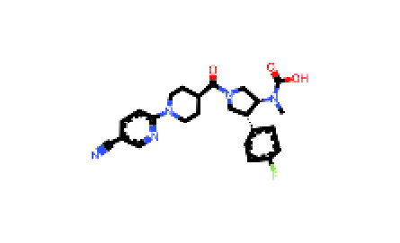 CN(C(=O)O)[C@@H]1CN(C(=O)C2CCN(c3ccc(C#N)cn3)CC2)C[C@H]1c1ccc(F)cc1